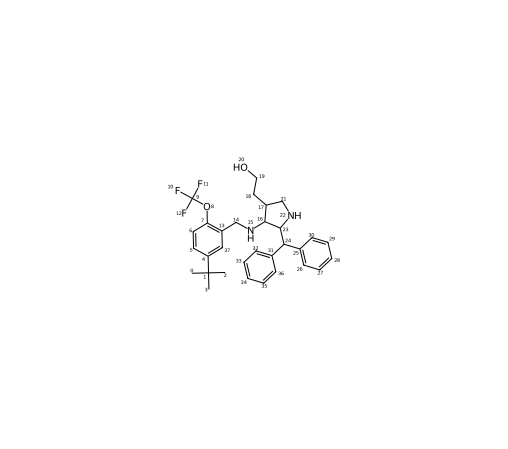 CC(C)(C)c1ccc(OC(F)(F)F)c(CNC2C(CCO)CNC2C(c2ccccc2)c2ccccc2)c1